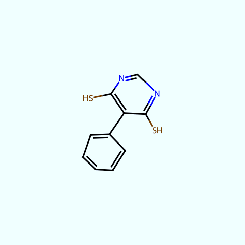 Sc1ncnc(S)c1-c1ccccc1